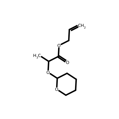 C=CCOC(=O)C(C)OC1CCCCO1